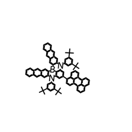 CC(C)(C)c1cc(N2c3cc4cc5ccccc5cc4cc3B3c4cc5cc6ccccc6cc5cc4N(c4cc(C(C)(C)C)cc(C(C)(C)C)c4)c4cc(-c5ccc6c7cccc8cccc(c9cccc5c96)c87)cc2c43)cc(C(C)(C)C)c1